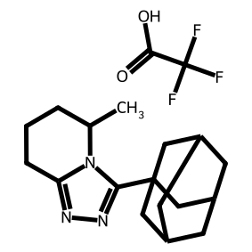 CC1CCCc2nnc(C34CC5CC(CC(C5)C3)C4)n21.O=C(O)C(F)(F)F